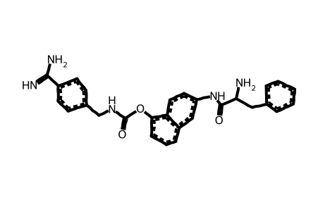 N=C(N)c1ccc(CNC(=O)Oc2cccc3cc(NC(=O)C(N)Cc4ccccc4)ccc23)cc1